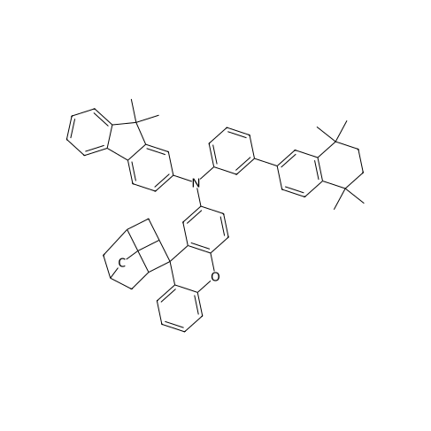 CC1(C)CCC(C)(C)c2cc(-c3cccc(N(c4ccc5c(c4)C(C)(C)c4ccccc4-5)c4ccc5c(c4)C4(c6ccccc6O5)C5CC6CC7CC4C75C6)c3)ccc21